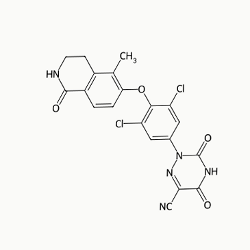 Cc1c(Oc2c(Cl)cc(-n3nc(C#N)c(=O)[nH]c3=O)cc2Cl)ccc2c1CCNC2=O